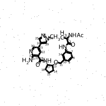 CC(=O)NC(C)C(=O)Nc1cccc(CO[C@H]2CCC[C@@H]2NC(=O)c2cc(-c3cnn(C)c3)cnc2N)c1